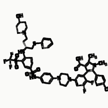 Cc1c(C(=O)O)c(-c2cc(N3CCN(c4ccc(NS(=O)(=O)c5ccc(N[C@H](CCN6CCC(O)CC6)CSc6ccccc6)c(S(=O)(=O)C(F)(F)F)c5)cc4)CC3)cc(F)c2F)c(-c2ccc(Cl)cc2)n1C